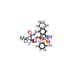 COC(=O)CCc1c2c(cc(NS(=O)(=O)c3ccccc3C)c1CCO[N+](=O)[O-])CCCC2